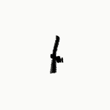 CCCCCCCCCCCCCOC(=O)C(CCCCCCCCCCCCC)CCC(=O)O